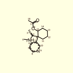 CNC(=S)C1(c2cccnc2)CCCCC1OC(C)=O